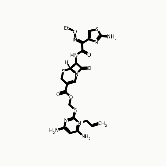 C=CC[n+]1c(N)cc(N)nc1SCOC(=O)C1=CN2C(=O)C(NC(=O)C(=NOCC)c3csc(N)n3)[C@H]2SC1